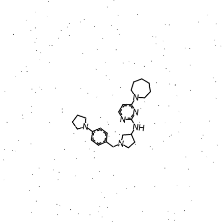 c1cc(N2CCCCCC2)nc(NC2CCN(Cc3ccc(N4CCCC4)cc3)C2)n1